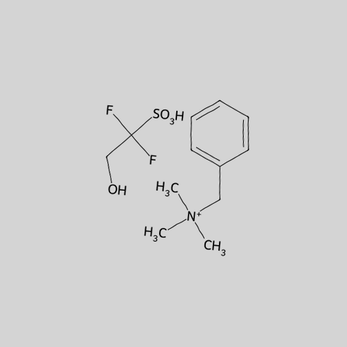 C[N+](C)(C)Cc1ccccc1.O=S(=O)(O)C(F)(F)CO